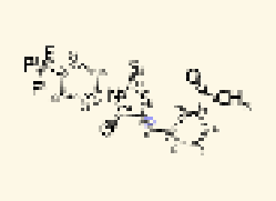 CC(=O)c1cccc(/C=C2\SC(=S)N(c3ccc(C(F)(F)F)cc3)C2=O)c1